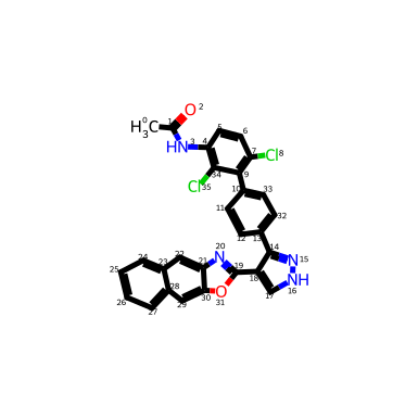 CC(=O)Nc1ccc(Cl)c(-c2ccc(-c3n[nH]cc3-c3nc4cc5ccccc5cc4o3)cc2)c1Cl